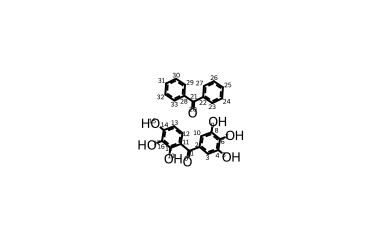 O=C(c1cc(O)c(O)c(O)c1)c1ccc(O)c(O)c1O.O=C(c1ccccc1)c1ccccc1